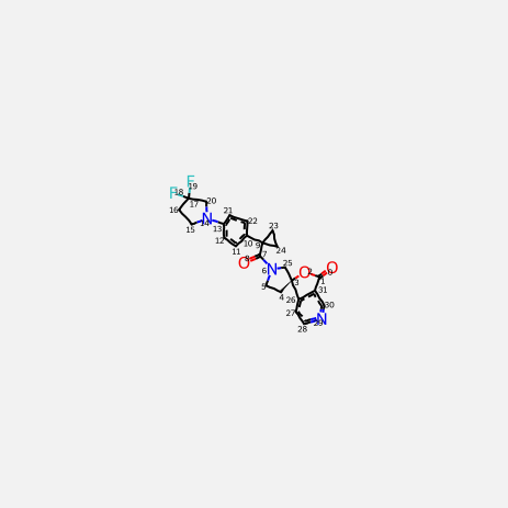 O=C1O[C@]2(CCN(C(=O)C3(c4ccc(N5CCC(F)(F)C5)cc4)CC3)C2)c2ccncc21